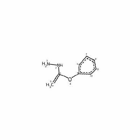 C=C(NN)Oc1ccccc1